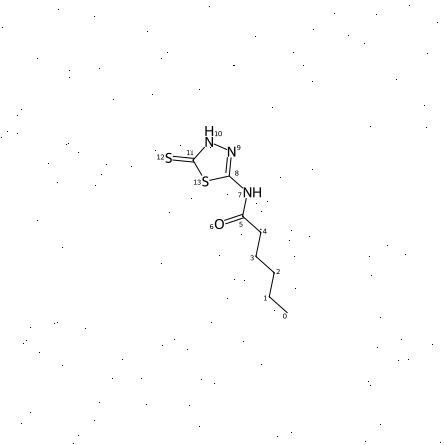 CCCC[CH]C(=O)Nc1n[nH]c(=S)s1